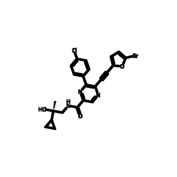 C[C@](O)(CNC(=O)c1cnc(C#Cc2ccc(Br)o2)c(-c2ccc(Cl)cc2)n1)C1CC1